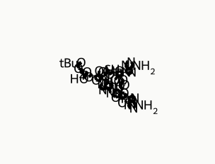 COC1[C@@H](COP(=O)(O)SCOC(=O)C(C)(C)C)O[C@@H](n2cnc3c(N)ncnc32)[C@H]1OP(=O)(S)OC[C@H]1O[C@@H](n2cnc3c(N)ncnc32)[C@@H](OP(=O)(O)OC[C@]23CCCOC2[C@H](O)[C@H](n2cnc4c(N)ncnc42)O3)C1O